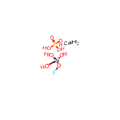 O=P(O)(O)O.O[Si](O)(O)OF.[CaH2]